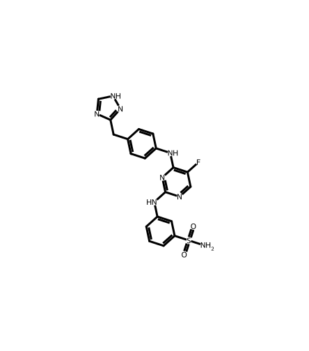 NS(=O)(=O)c1cccc(Nc2ncc(F)c(Nc3ccc(Cc4nc[nH]n4)cc3)n2)c1